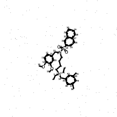 CC[N+](CC)(CCCCN(Cc1ccc(OC)c(OC)c1)S(=O)(=O)c1ccc2ccccc2c1)Cc1cc(C)cc(C)c1